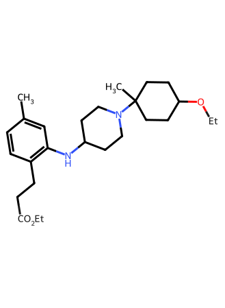 CCOC(=O)CCc1ccc(C)cc1NC1CCN(C2(C)CCC(OCC)CC2)CC1